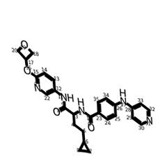 O=C(NC(CCC1CC1)C(=O)Nc1ccc(OC2COC2)nc1)c1ccc(Nc2ccncc2)cc1